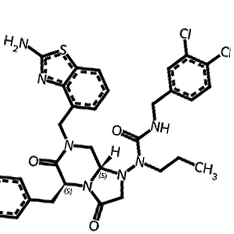 CCCN(C(=O)NCc1ccc(Cl)c(Cl)c1)N1CC(=O)N2[C@@H](Cc3ccccc3)C(=O)N(Cc3cccc4sc(N)nc34)C[C@@H]21